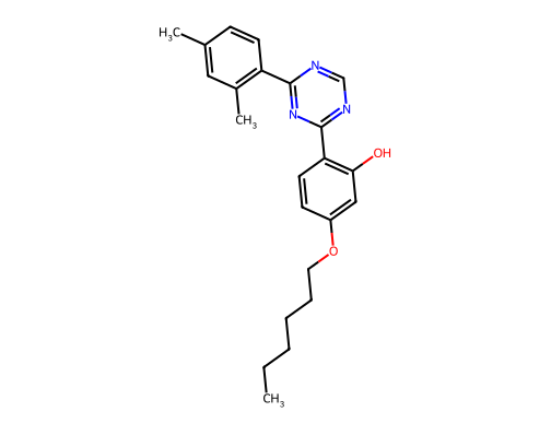 CCCCCCOc1ccc(-c2ncnc(-c3ccc(C)cc3C)n2)c(O)c1